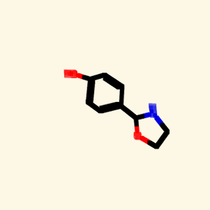 Oc1ccc(C2NCCO2)cc1